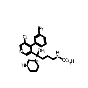 CC(C)c1cccc(-c2c(Cl)cncc2C(O)(CCCNC(=O)O)[C@@H]2CCCNC2)c1